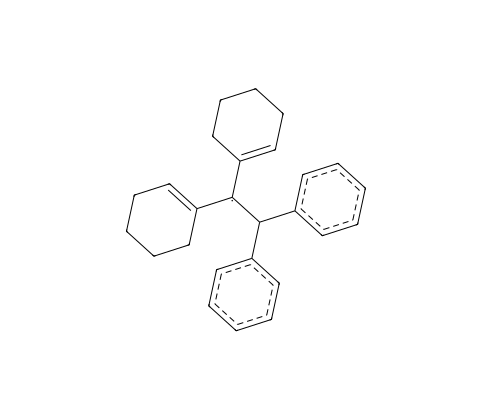 C1=C([C](C2=CCCCC2)C(c2ccccc2)c2ccccc2)CCCC1